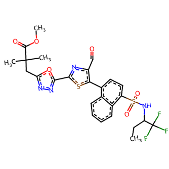 CCC(NS(=O)(=O)c1ccc(-c2sc(-c3nnc(CC(C)(C)C(=O)OC)o3)nc2C=O)c2ccccc12)C(F)(F)F